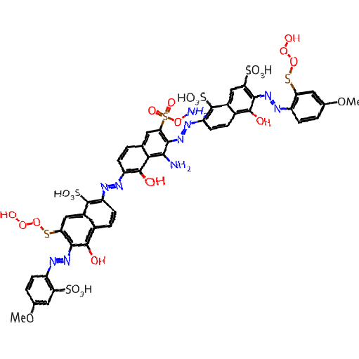 COc1ccc(N=Nc2c(S(=O)(=O)O)cc3c(S(=O)(=O)O)c(N=Nc4c(S(=O)(=O)ON)cc5ccc(N=Nc6ccc7c(O)c(N=Nc8ccc(OC)cc8S(=O)(=O)O)c(SOOO)cc7c6S(=O)(=O)O)c(O)c5c4N)ccc3c2O)c(SOOO)c1